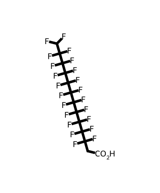 O=C(O)CC(F)(F)C(F)(F)C(F)(F)C(F)(F)C(F)(F)C(F)(F)C(F)(F)C(F)(F)C(F)(F)C(F)(F)C(F)F